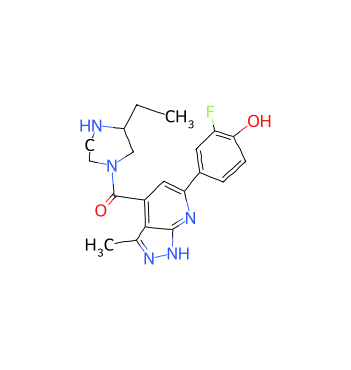 CCC1CN(C(=O)c2cc(-c3ccc(O)c(F)c3)nc3[nH]nc(C)c23)CCN1